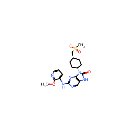 COc1ncccc1Nc1ncc2[nH]c(=O)n([C@H]3CC[C@H](CS(C)(=O)=O)CC3)c2n1